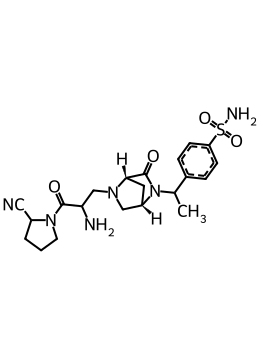 CC(c1ccc(S(N)(=O)=O)cc1)N1C(=O)[C@@H]2C[C@H]1CN2CC(N)C(=O)N1CCCC1C#N